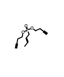 C#CCCOP(=O)(CC=CC)OCCC#C